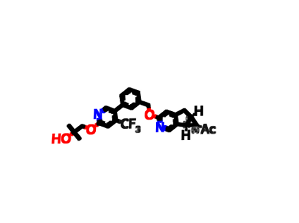 CC(=O)[C@H]1[C@@H]2Cc3cc(OCc4cccc(-c5cnc(OCC(C)(C)O)cc5C(F)(F)F)c4)ncc3[C@@H]21